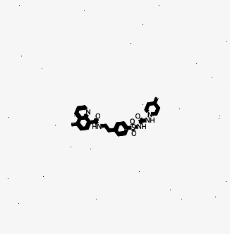 Cc1ccc(C(=O)NCCc2ccc(S(=O)(=O)NC(=O)NN3CCC(C)CC3)cc2)c2ncccc12